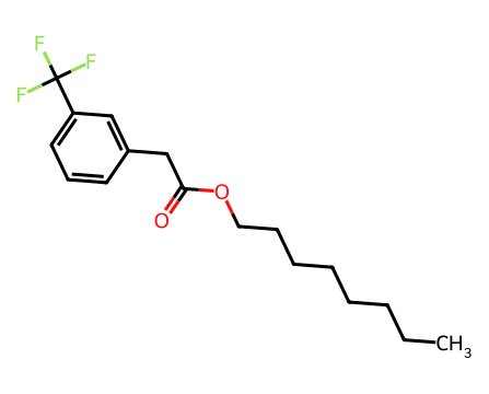 CCCCCCCCOC(=O)Cc1cccc(C(F)(F)F)c1